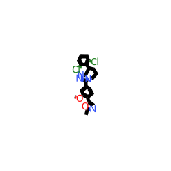 COc1cc(-c2nnc3n2CCCC3c2c(Cl)cccc2Cl)ccc1-c1cnc(C)o1